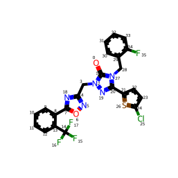 O=c1n(Cc2noc(-c3ccccc3C(F)(F)F)n2)nc(-c2ccc(Cl)s2)n1Cc1ccccc1F